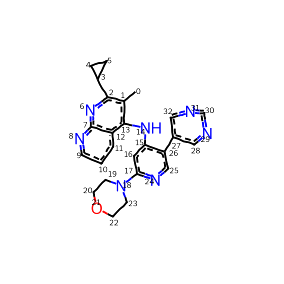 Cc1c(C2CC2)nc2ncccc2c1Nc1cc(N2CCOCC2)ncc1-c1cncnc1